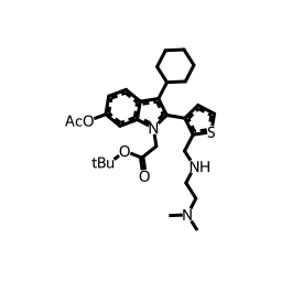 CC(=O)Oc1ccc2c(C3CCCCC3)c(-c3ccsc3CNCCN(C)C)n(CC(=O)OC(C)(C)C)c2c1